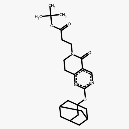 CC(C)(C)OC(=O)CCN1CCc2nc(SC34CC5CC(CC(C5)C3)C4)ncc2C1=O